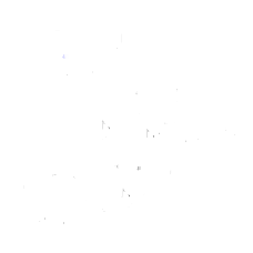 CC(C)(C)OC(=O)N(c1ccc(/C=C(/F)C(=O)O)cn1)[C@@H]1CCN(CC2CCCCC2)C1